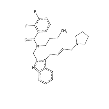 CCCCN(Cc1nc2ccccc2n1C/C=C/CN1CCCC1)C(=O)c1cccc(F)c1F